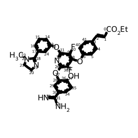 CCOC(=O)C=Cc1ccc(Oc2c(F)c(Oc3cccc(C4=NCCN4C)c3)nc(Oc3cc(C(=N)N)ccc3O)c2F)cc1